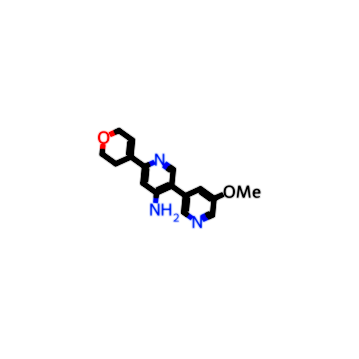 COc1cncc(-c2cnc(C3=CCOCC3)cc2N)c1